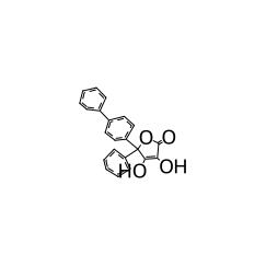 O=C1OC(c2ccccc2)(c2ccc(-c3ccccc3)cc2)C(O)=C1O